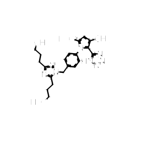 CCCCc1nc(CCCC)n(Cc2ccc(-n3c(C)cc(C)c3-c3nnn[nH]3)cc2)n1